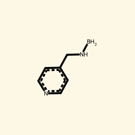 BNCc1ccncc1